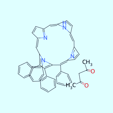 C1=Cc2cc3c(-c4ccccc4)c(-c4ccccc4)c(c(-c4ccccc4)c4nc(cc5ccc(cc1n2)[nH]5)C=C4)n3-c1ccccc1.CC(=O)CC(C)=O